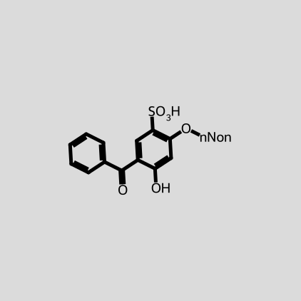 CCCCCCCCCOc1cc(O)c(C(=O)c2ccccc2)cc1S(=O)(=O)O